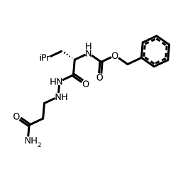 CC(C)C[C@H](NC(=O)OCc1ccccc1)C(=O)NNCCC(N)=O